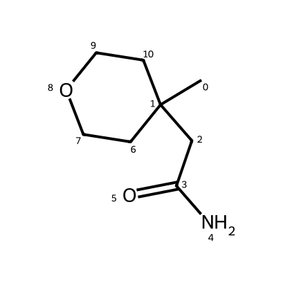 CC1(CC(N)=O)CCOCC1